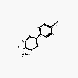 CCCCCC[C@]1(C)OC[C@@H](c2ccc(CCC)cc2)CO1